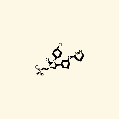 CS(=O)(=O)CCN1CC(c2cccc(Oc3cccnn3)c2)N(c2ccc(Cl)cc2)C1=O